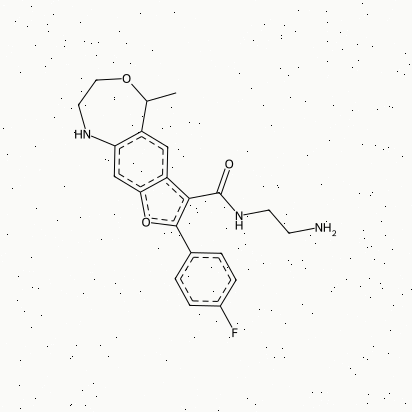 CC1OCCNc2cc3oc(-c4ccc(F)cc4)c(C(=O)NCCN)c3cc21